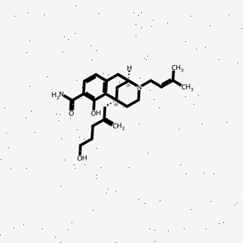 C=C(CCCO)C[C@]12CCN(CC=C(C)C)[C@H](Cc3ccc(C(N)=O)c(O)c31)C2